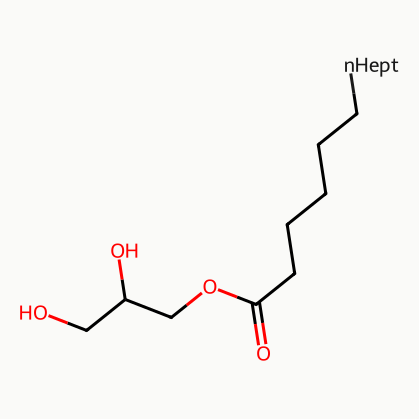 CCCCCCCCCCCCC(=O)OCC(O)CO